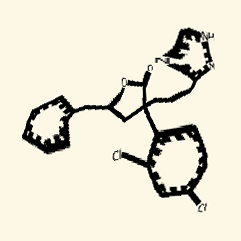 O=C1OC(c2ccccc2)CC1(Cc1nc[nH]n1)c1ccc(Cl)cc1Cl